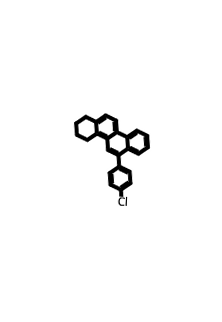 Clc1ccc(-c2cc3c4c(ccc3c3ccccc23)CCCC4)cc1